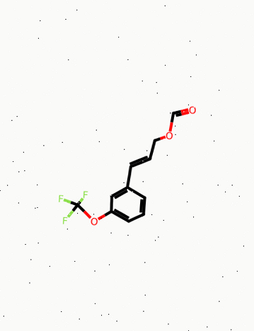 O=[C]OCC=Cc1cccc(OC(F)(F)F)c1